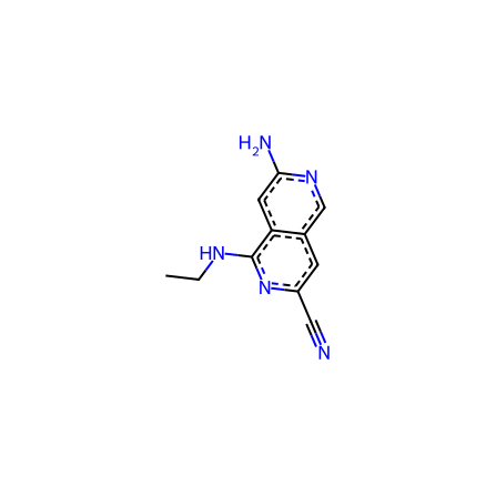 CCNc1nc(C#N)cc2cnc(N)cc12